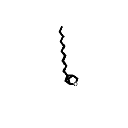 CCCCCCCCCCC1=CC2CC1CO2